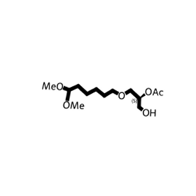 COC(CCCCCOC[C@H](CO)OC(C)=O)OC